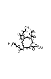 C=CCOC(=O)CN1CCN(CC(=O)OCC=C)CCN(C(=O)OC(C)(C)C)CCN(C(=O)OC(C)(C)C)CC1